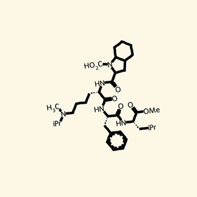 COC(=O)[C@H](CC(C)C)NC(=O)[C@H](Cc1ccccc1)NC(=O)[C@H](CCCCN(C)C(C)C)NC(=O)C1CC2CCCCC2N1C(=O)O